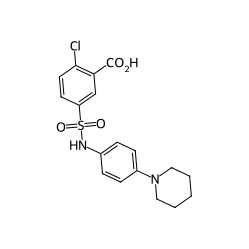 O=C(O)c1cc(S(=O)(=O)Nc2ccc(N3CCCCC3)cc2)ccc1Cl